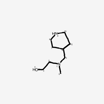 CN(CCO)CC1CCNCC1